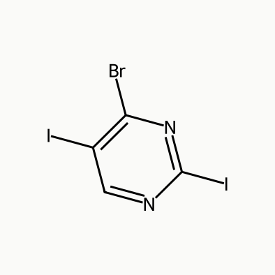 Brc1nc(I)ncc1I